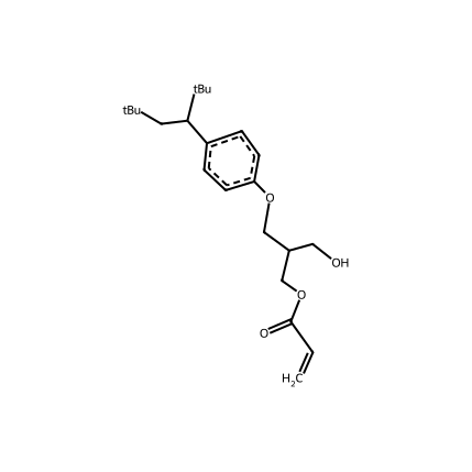 C=CC(=O)OCC(CO)COc1ccc(C(CC(C)(C)C)C(C)(C)C)cc1